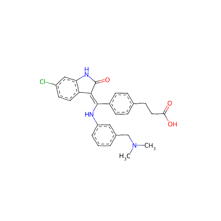 CN(C)Cc1cccc(NC(=C2C(=O)Nc3cc(Cl)ccc32)c2ccc(CCC(=O)O)cc2)c1